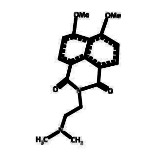 COc1ccc2c3c(ccc(OC)c13)C(=O)N(CCN(C)C)C2=O